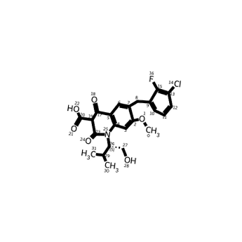 COc1cc2c(cc1Cc1cccc(Cl)c1F)C(=O)C(C(=O)O)C(=O)N2[C@H](CO)C(C)C